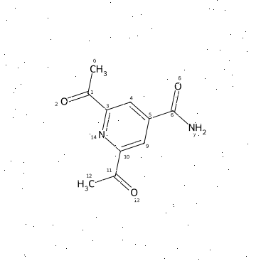 CC(=O)c1cc(C(N)=O)cc(C(C)=O)n1